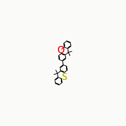 CC1(C)c2ccccc2Oc2ccc(-c3ccc4c(c3)C(C)(C)c3ccccc3S4)cc21